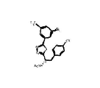 CC(=O)N[C@@H](Cc1ccc(C#N)cc1)c1nnc(-c2cc(Br)cc(C(F)(F)F)c2)s1